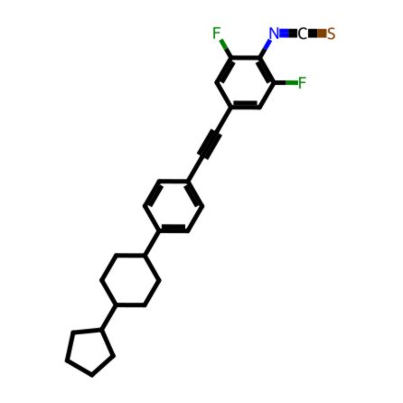 Fc1cc(C#Cc2ccc(C3CCC(C4CCCC4)CC3)cc2)cc(F)c1N=C=S